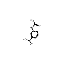 N=C(N)Nc1cccc(B(O)O)c1